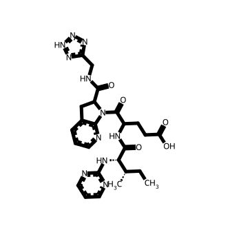 CC[C@H](C)[C@H](Nc1ncccn1)C(=O)NC(CCC(=O)O)C(=O)N1c2ncccc2CC1C(=O)NCc1nn[nH]n1